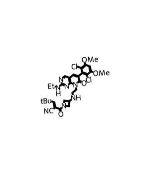 CCNc1ncc2cc(-c3c(Cl)c(OC)cc(OC)c3Cl)c(=O)n(CCNC3CN(C(=O)C(C#N)=CC(C)(C)C)C3)c2n1